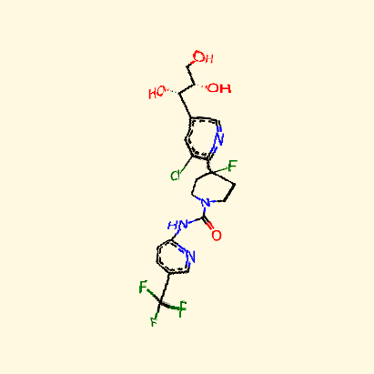 O=C(Nc1ccc(C(F)(F)F)cn1)N1CCC(F)(c2ncc([C@H](O)[C@@H](O)CO)cc2Cl)CC1